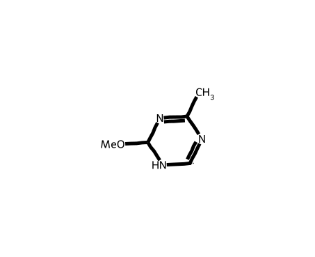 COC1N=C(C)N=[C]N1